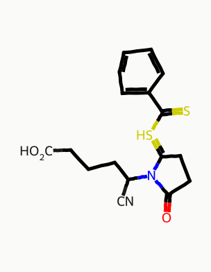 N#CC(CCCC(=O)O)N1C(=O)CCC1=[SH]C(=S)c1ccccc1